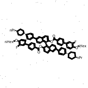 CCCCCCOc1ccc(-c2ccc(C(=O)Oc3ccc4cc(-c5ccc([C@H]6CC[C@H](CCC)CC6)cc5)ccc4c3-c3c(OC(=O)c4ccc(-c5ccc(OCCCCCC)c(F)c5)cc4)ccc4cc(-c5ccc([C@H]6CC[C@H](CCC)CC6)cc5)ccc34)cc2)cc1F